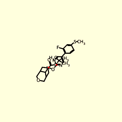 CSc1ccc(-c2cnc(OCC3C4COCC3CN(C(=O)OC(C)(C)C)C4)nc2)c(F)c1